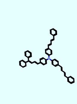 C1=C=C(C=CC=Cc2ccc(N(c3ccc(C=CC=CC4=C=C=CC=C4)cc3)c3ccc(C=CC=C(C4=C=C=CC=C4)C4=CC=CCC4)cc3)cc2)C=CC=1